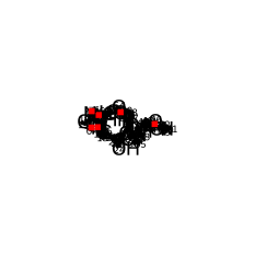 CCn1c(-c2cccnc2[C@H](C)OC)c2c3cc(ccc31)-c1cc(O)cc(c1)C[C@H](NC(=O)[C@H](C(C)C)N(C)C(=O)[C@H]1CCN(C(=O)OC3CN(C)C3)C1)C(=O)N1CCC[C@@](O)(N1)C(=O)OCC(C)(C)C2